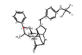 CC(C)CC1C2CC3CN(Cc4ccc(OC(F)(F)F)cc4)C1C3(C(=O)NCc1ccccc1)NC2=O